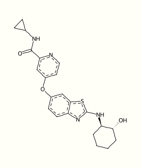 O=C(NC1CC1)c1cc(Oc2ccc3nc(N[C@@H]4CCCC[C@H]4O)sc3c2)ccn1